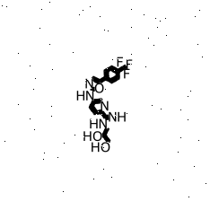 N=C(NCC(O)CO)c1ccc(Nc2ncc(-c3ccc(C(F)(F)F)cc3)o2)cn1